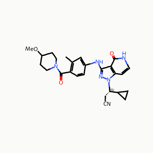 COC1CCN(C(=O)c2ccc(Nc3nn([C@@H](CC#N)C4CC4)c4cc[nH]c(=O)c34)cc2C)CC1